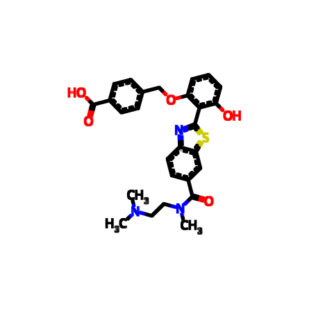 CN(C)CCN(C)C(=O)c1ccc2nc(-c3c(O)cccc3OCc3ccc(C(=O)O)cc3)sc2c1